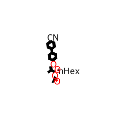 C1CO1.CCCCCCOC(=O)C(C)=COc1ccc(-c2ccc(C#N)cc2)cc1